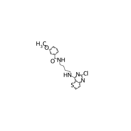 COc1cccc(C(=O)NCCCCNc2nc(Cl)nc3ccsc23)c1